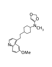 COc1ccc2nccc(CCC3CCC(N(C)C4=COCO4)CC3)c2c1